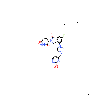 COc1nccc(CN2CCN(c3cc(F)cc4c3CN(C3CCC(=O)NC3=O)C4=O)CC2)n1